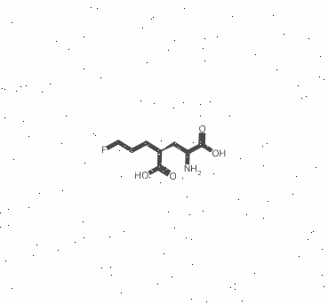 NC(C[C@H](CCCF)C(=O)O)C(=O)O